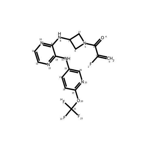 C=C(F)C(=O)N1CC(Nc2nccnc2Nc2ccc(OC(F)(F)F)nc2)C1